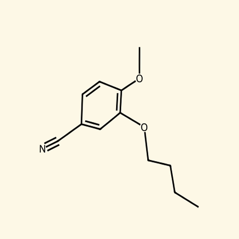 CCCCOc1cc(C#N)ccc1OC